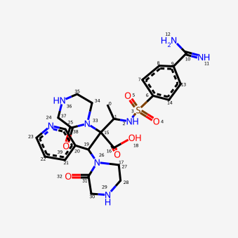 CC(NS(=O)(=O)c1ccc(C(=N)N)cc1)C(C(=O)O)(C(c1cccnc1)N1CCNCC1=O)N1CCNCC1=O